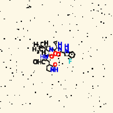 CC1(C)[C@@H]2[C@@H](C(=O)N[C@H](C=O)C[C@@H]3CCCNC3=O)N(C(=O)[C@@H](NC(=O)c3cc4c(F)cccc4[nH]3)C3CC3)C[C@@H]21